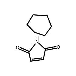 C1CCCCC1.O=C1C=CC(=O)N1